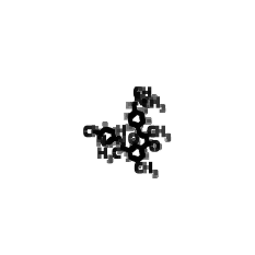 Cc1cc([C@@H](C)Nc2ccc(Cl)nc2)c2oc(-c3ccc(CN(C)C)cc3)c(C)c(=O)c2c1